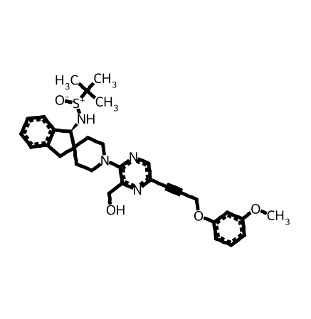 COc1cccc(OCC#Cc2cnc(N3CCC4(CC3)Cc3ccccc3[C@H]4N[S+]([O-])C(C)(C)C)c(CO)n2)c1